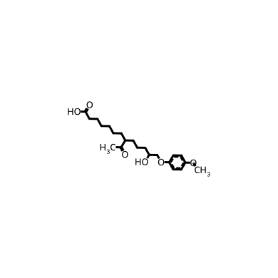 COc1ccc(OCC(O)CCCC(CCCCCCC(=O)O)C(C)=O)cc1